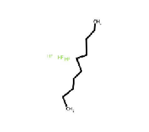 CCCCCCCCCC.F.F.F